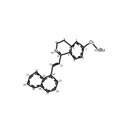 CCCCOc1ccc2c(c1)CCN=C2C=Cc1cccc2ccccc12